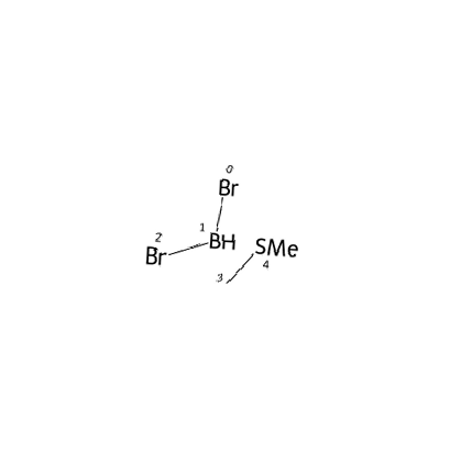 BrBBr.CSC